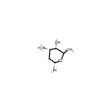 CC(C)[C@@H]1C[C@H](N)[C@H](O)C(C)O1